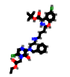 CCOC(=O)Cn1c(Cl)cnc(N(CCNCCCCOc2ccc(Cl)cc2[C@H](N)C(=O)OC(C)(C)C)Cc2ccccc2)c1=O